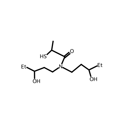 CCC(O)CCN(CCC(O)CC)C(=O)C(C)S